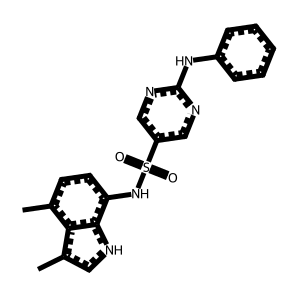 Cc1ccc(NS(=O)(=O)c2cnc(Nc3ccccc3)nc2)c2[nH]cc(C)c12